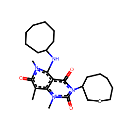 Cc1c(=O)n(C)c(NC2CCCCCCC2)c2c(=O)n(C3CCCCCCC3)c(=O)n(C)c12